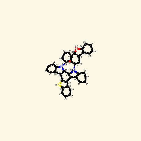 c1ccc(-n2c3ccccc3c3c4sc5ccccc5c4c4c5ccccc5n(-c5ccc6oc7ccccc7c6c5)c4c32)cc1